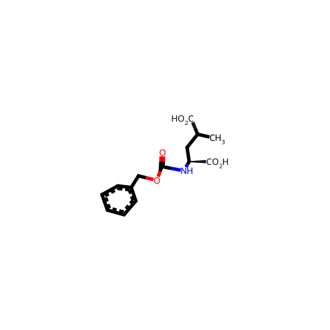 CC(C[C@H](NC(=O)OCc1ccccc1)C(=O)O)C(=O)O